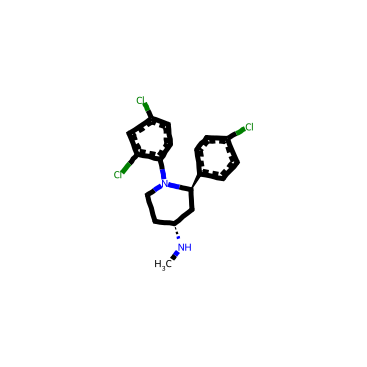 CN[C@@H]1CCN(c2ccc(Cl)cc2Cl)[C@@H](c2ccc(Cl)cc2)C1